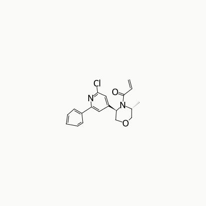 C=CC(=O)N1[C@H](C)COC[C@H]1c1cc(Cl)nc(-c2ccccc2)c1